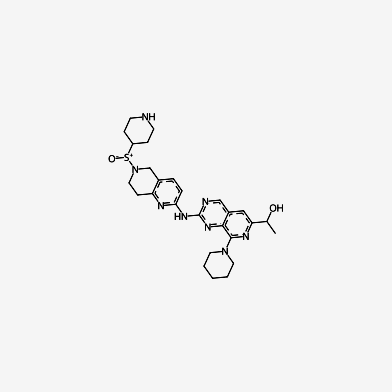 CC(O)c1cc2cnc(Nc3ccc4c(n3)CCN([S+]([O-])C3CCNCC3)C4)nc2c(N2CCCCC2)n1